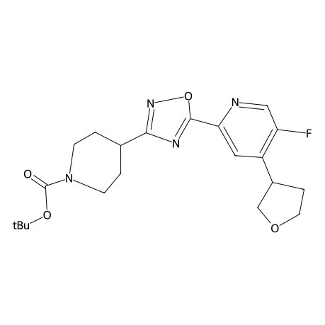 CC(C)(C)OC(=O)N1CCC(c2noc(-c3cc(C4CCOC4)c(F)cn3)n2)CC1